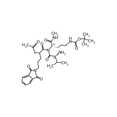 CNC(=O)[C@H](CCCNC(=O)OC(C)(C)C)N(C(=O)C(CCCN1C(=O)c2ccccc2C1=O)SC(C)=O)C(=O)[C@@H](N)C(C)C